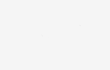 O=C(Nc1ccccc1)c1ccc(OC2CNC2)cc1